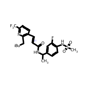 CCC(C)Cc1nc(C(F)(F)F)ccc1/C=C/C(=O)NC(C)c1ccc(NS(C)(=O)=O)c(F)c1